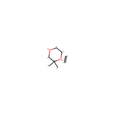 C=C.CC1(C)COCCO1